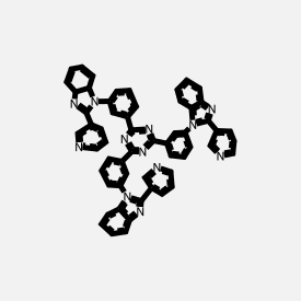 C1=CC2N=C(c3cccnc3)N(c3cccc(-c4nc(-c5cccc(-n6c(-c7cccnc7)nc7ccccc76)c5)nc(-c5cccc(-n6c(-c7cccnc7)nc7ccccc76)c5)n4)c3)C2C=C1